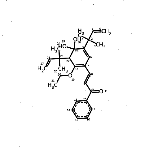 C=CC(C)(C)C1=CC(C=CC(=O)c2ccccc2)=C(OCC)C(C(C)(C)C=C)C1(O)O